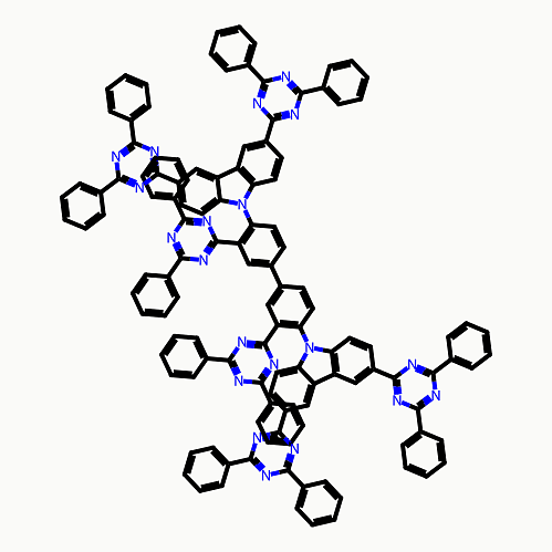 c1ccc(-c2nc(-c3ccccc3)nc(-c3ccc4c(c3)c3cc(-c5nc(-c6ccccc6)nc(-c6ccccc6)n5)ccc3n4-c3ccc(-c4ccc(-n5c6ccc(-c7nc(-c8ccccc8)nc(-c8ccccc8)n7)cc6c6cc(-c7nc(-c8ccccc8)nc(-c8ccccc8)n7)ccc65)c(-c5nc(-c6ccccc6)nc(-c6ccccc6)n5)c4)cc3-c3nc(-c4ccccc4)nc(-c4ccccc4)n3)n2)cc1